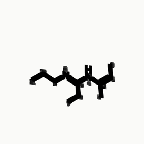 C/C=C(/C)N/C(CC)=N/CCC